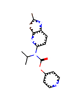 CC(C)N(C(=O)Oc1ccncc1)c1ccc2nc(S)sc2n1